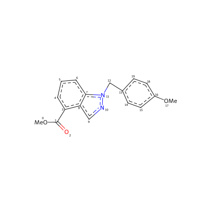 COC(=O)c1cccc2c1cnn2Cc1ccc(OC)cc1